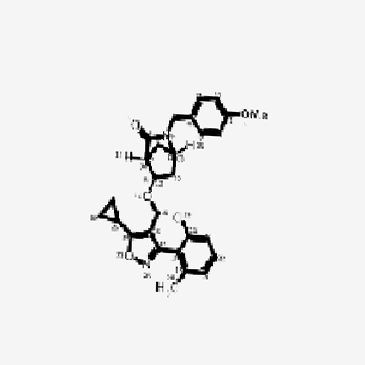 COc1ccc(CN2C(=O)[C@@H]3C[C@H]2C[C@H]3OCc2c(-c3c(C)cccc3Cl)noc2C2CC2)cc1